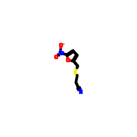 N#CCCSCc1ccc([N+](=O)[O-])o1